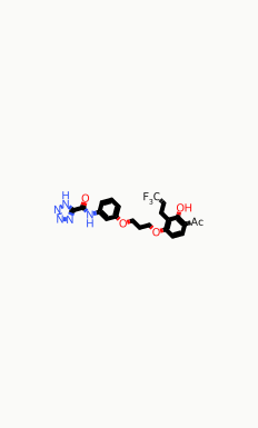 CC(=O)c1ccc(OCCCOc2cccc(NC(=O)c3nnn[nH]3)c2)c(CCC(F)(F)F)c1O